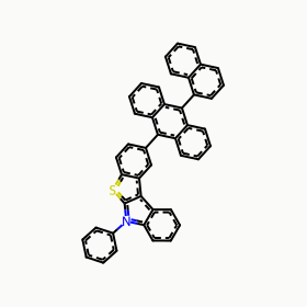 c1ccc(-n2c3ccccc3c3c4cc(-c5c6ccccc6c(-c6cccc7ccccc67)c6ccccc56)ccc4sc32)cc1